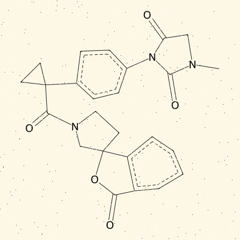 CN1CC(=O)N(c2ccc(C3(C(=O)N4CCC5(C4)OC(=O)c4ccccc45)CC3)cc2)C1=O